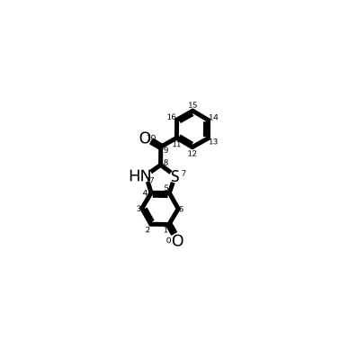 O=C1C=CC2=C(C1)SC(C(=O)c1ccccc1)N2